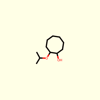 CC(C)OC1CCCCCCC1O